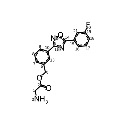 NCC(=O)OCc1cccc(-c2noc(-c3cccc(F)c3)n2)c1